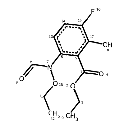 CCOC(=O)c1c(N(C=O)OCC)ccc(F)c1O